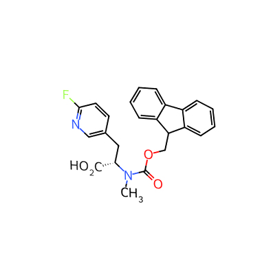 CN(C(=O)OCC1c2ccccc2-c2ccccc21)[C@@H](Cc1ccc(F)nc1)C(=O)O